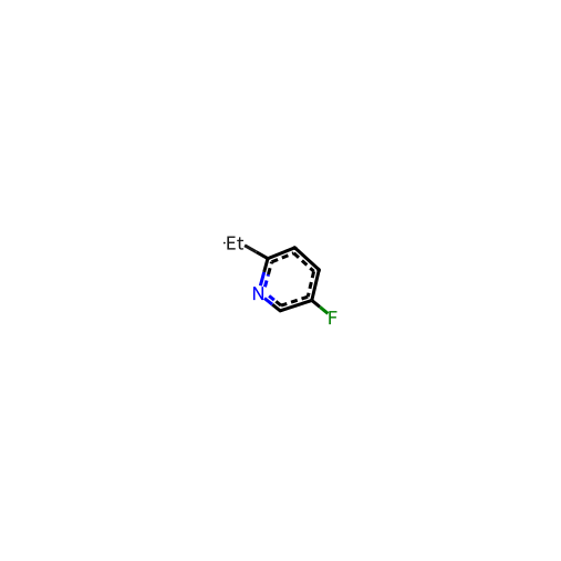 C[CH]c1ccc(F)cn1